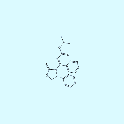 CC(C)OC(=O)[C]=C(c1cccnc1)N1C(=O)OC[C@H]1c1ccccc1